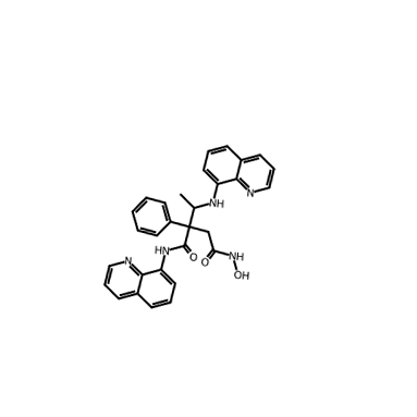 CC(Nc1cccc2cccnc12)C(CC(=O)NO)(C(=O)Nc1cccc2cccnc12)c1ccccc1